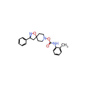 Cc1ccccc1NC(=O)ON1CCC2(CC1)CC(c1ccccc1)=NO2